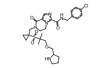 CC(C)(COCC1CCCN1)S(=O)(=O)C1(CN2CCn3c(cnc3C(=O)NCc3ccc(Cl)cc3)C2=O)CC1